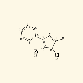 CC1=CC(c2ccccc2)=CC1Cl.[Zr]